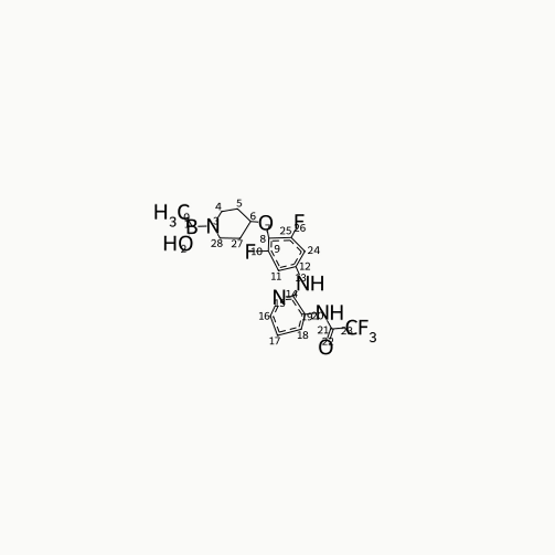 CB(O)N1CCC(Oc2c(F)cc(Nc3ncccc3NC(=O)C(F)(F)F)cc2F)CC1